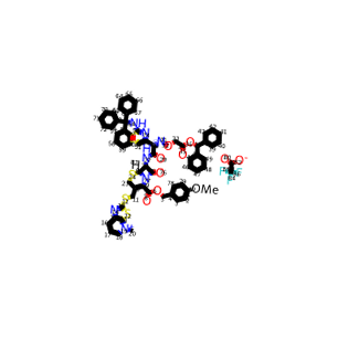 COc1ccc(COC(=O)C2=C(CSc3nc4ccc[n+](C)c4s3)CS[C@H]3C(NC(=O)/C(=N\OCC(=O)OC(c4ccccc4)c4ccccc4)c4csc(NC(c5ccccc5)(c5ccccc5)c5ccccc5)n4)C(=O)N23)cc1.O=C([O-])C(F)(F)F